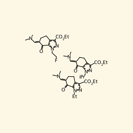 CCOC(=O)c1nn(C(C)C)c2c1CCC(=CN(C)C)C2=O.CCOC(=O)c1nn(CC)c2c1CCC(=CN(C)C)C2=O.CCOC(=O)c1nn(CCF)c2c1CCC(=CN(C)C)C2=O